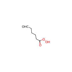 O=CCCCCC(=O)OO